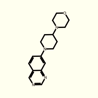 c1ncc2ccc(N3CCC(N4CCOCC4)CC3)cc2n1